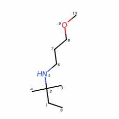 CCC(C)(C)NCCCOC